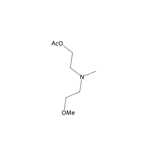 COCCN(C)CCOC(C)=O